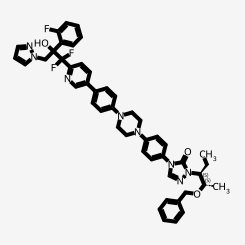 CC[C@@H]([C@H](C)OCc1ccccc1)n1ncn(-c2ccc(N3CCN(c4ccc(-c5ccc(C(F)(F)C(O)(Cn6cccn6)c6ccccc6F)nc5)cc4)CC3)cc2)c1=O